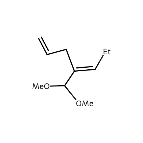 C=CC/C(=C\CC)C(OC)OC